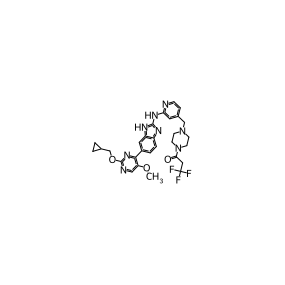 COc1cnc(OCC2CC2)nc1-c1ccc2nc(Nc3cc(CN4CCN(C(=O)CC(F)(F)F)CC4)ccn3)[nH]c2c1